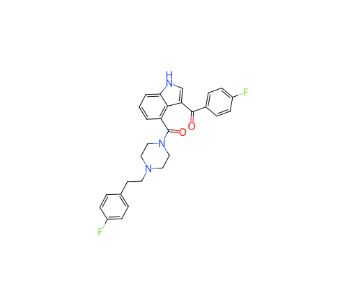 O=C(c1ccc(F)cc1)c1c[nH]c2cccc(C(=O)N3CCN(CCc4ccc(F)cc4)CC3)c12